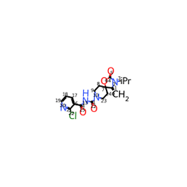 C=C1N(C(C)C)C(=O)OC12CCN(C(=O)NC(=O)c1cccnc1Cl)CC2